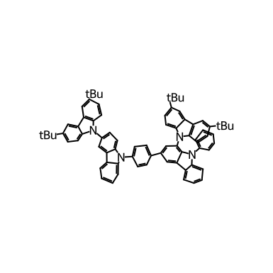 CC(C)(C)c1ccc2c(c1)c1cc(C(C)(C)C)ccc1n2-c1ccc2c(c1)c1ccccc1n2-c1ccc(-c2cc(-n3c4ccc(C(C)(C)C)cc4c4cc(C(C)(C)C)ccc43)c3c(c2)c2ccccc2n3-c2ccccc2)cc1